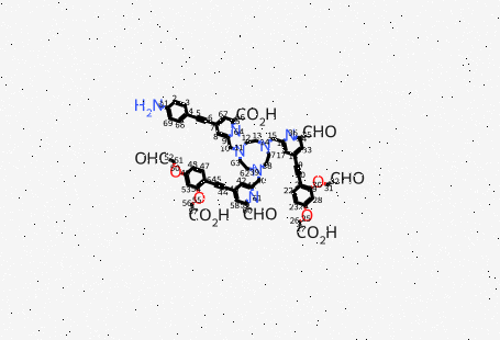 Nc1ccc(C#Cc2cc(CN3CCN(Cc4cc(C#Cc5ccc(OCC(=O)O)cc5OCC=O)cc(C=O)n4)CCN(Cc4cc(C#Cc5ccc(OCC=O)cc5OCC(=O)O)cc(C=O)n4)CC3)nc(C(=O)O)c2)cc1